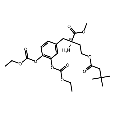 CCOC(=O)Oc1ccc(C[C@](N)(CCOC(=O)CC(C)(C)C)C(=O)OC)cc1OC(=O)OCC